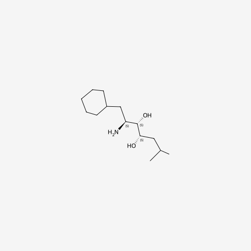 CC(C)C[C@H](O)[C@@H](O)[C@@H](N)CC1CCCCC1